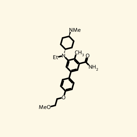 CCN(c1cc(-c2ccc(OCCOC)cc2)cc(C(N)=O)c1C)[C@H]1CC[C@H](NC)CC1